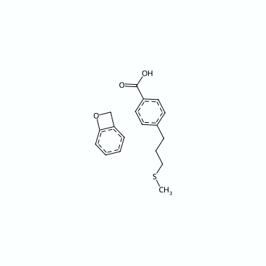 CSCCCc1ccc(C(=O)O)cc1.c1ccc2c(c1)CO2